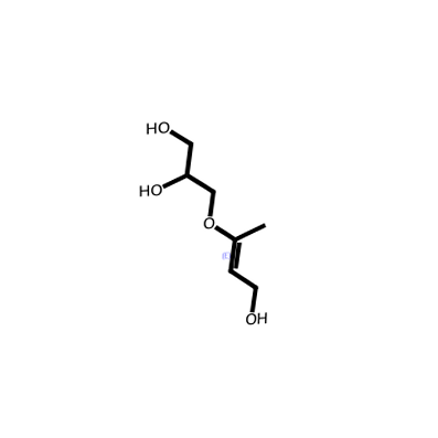 C/C(=C\CO)OCC(O)CO